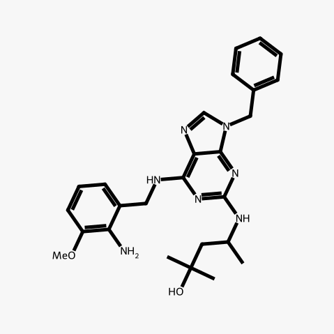 COc1cccc(CNc2nc(NC(C)CC(C)(C)O)nc3c2ncn3Cc2ccccc2)c1N